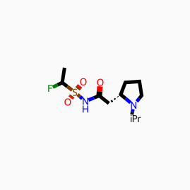 CC(C)N1CCC[C@H]1CC(=O)NS(=O)(=O)C(C)F